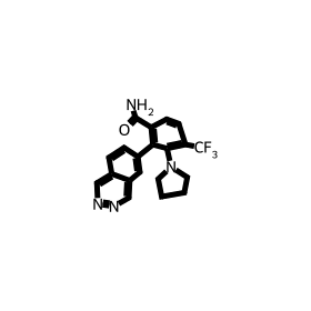 NC(=O)c1ccc(C(F)(F)F)c(N2CCCC2)c1-c1ccc2cnncc2c1